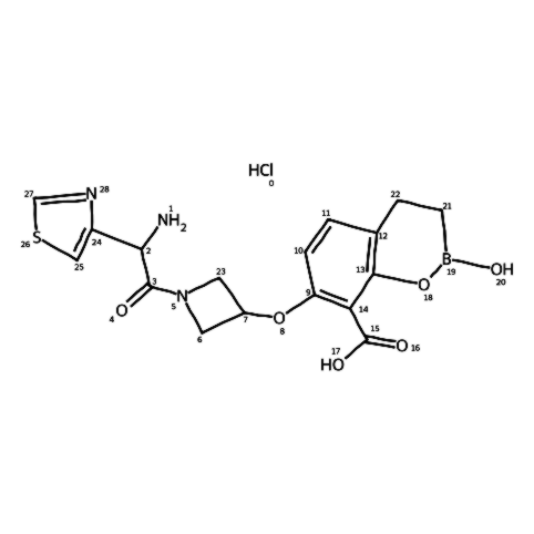 Cl.NC(C(=O)N1CC(Oc2ccc3c(c2C(=O)O)OB(O)CC3)C1)c1cscn1